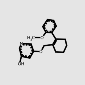 COc1ccccc1C1=C(COc2cncc(O)c2)CCCC1